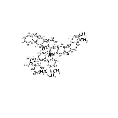 CC(C)(C)c1ccc(Nc2cc3sc4ccc(C(C)(C)C)cc4c3cc2-c2ccc3c4cc5sc6ccccc6c5cc4n4c3c2Bc2cc3c(cc2-4)C(C)(C)c2ccccc2-3)cc1